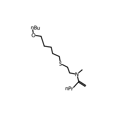 C=C(CCC)N(C)CCSCCCCCOCCCC